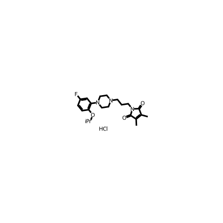 CC1=C(C)C(=O)N(CCCN2CCN(c3cc(F)ccc3OC(C)C)CC2)C1=O.Cl